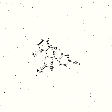 Cc1ccc(S(=O)(=O)N(CC(C)O)c2c(C)cccc2C)cc1